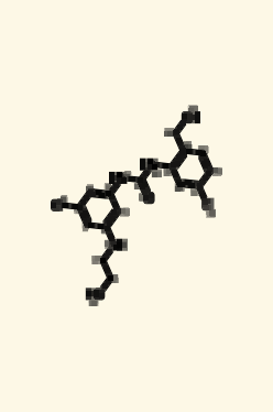 O=C(Nc1cc(Cl)cc(NCCO)c1)Nc1cc(Cl)ccc1CO